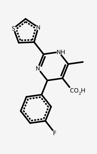 CC1=C(C(=O)O)C(c2cccc(F)c2)N=C(c2cscn2)N1